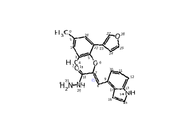 Cc1cc(C)c(O/C(=C\c2cccc3[nH]ccc23)C(=O)NN)c(-c2ccoc2)c1